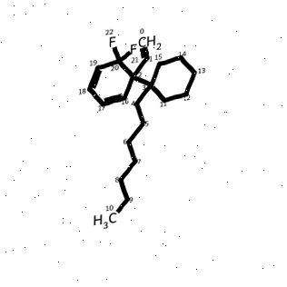 C=CC1(C2(CCCCCCC)CCCCC2)C=CC=CC1(F)F